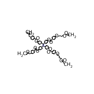 C=CC(=O)Cc1ccc(C(=O)Oc2ccc(/C(=C(\c3ccc(OC(=O)c4ccc(CC(=O)C=C)cc4)cc3)c3ccc(OC(=O)c4ccc(OCCCCOC(=O)C=C)cc4)cc3)c3ccc(OC(=O)c4ccc(OCCCCOC(=O)C=C)cc4)cc3)cc2)cc1